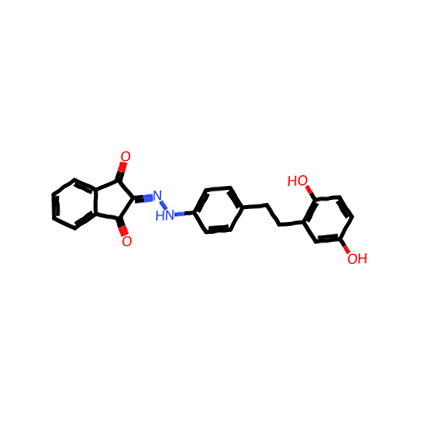 O=c1c(=NNc2ccc(CCc3cc(O)ccc3O)cc2)c(=O)c2ccccc12